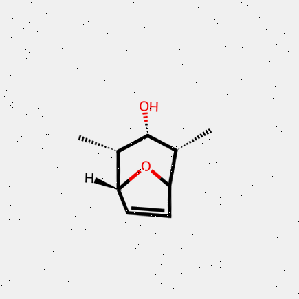 C[C@@H]1[C@H](O)[C@H](C)C2C=C[C@H]1O2